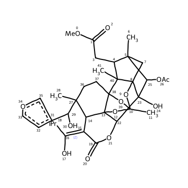 COC(=O)CC1C2(C)CC34OC5(C)OC67C(/C(=C(/O)C(C)C)C(=O)OC6C3(O)C2OC(C)=O)C(C)(C(O)c2ccoc2)CCC7(O5)C14C